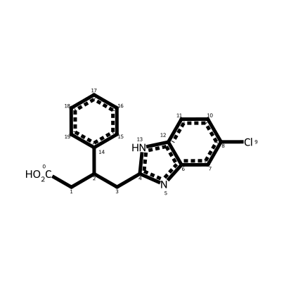 O=C(O)CC(Cc1nc2cc(Cl)ccc2[nH]1)c1ccccc1